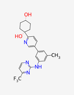 Cc1cc(Nc2nccc(C(F)(F)F)n2)cc(-c2ccc([C@]3(O)CC[C@@H](O)CC3)nc2)c1